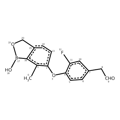 Cc1c(Oc2ccc(CC=O)cc2F)ccc2c1B(O)OC2